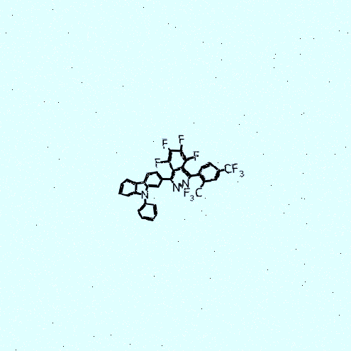 Fc1c(F)c(F)c2c(-c3ccc(C(F)(F)F)cc3C(F)(F)F)nnc(-c3ccc4c5ccccc5n(-c5ccccc5)c4c3)c2c1F